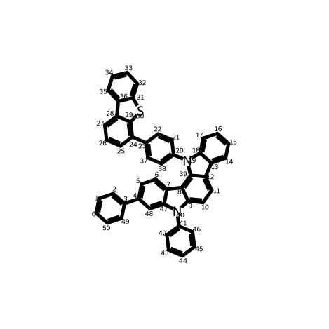 c1ccc(-c2ccc3c4c(ccc5c6ccccc6n(-c6ccc(-c7cccc8c7sc7ccccc78)cc6)c54)n(-c4ccccc4)c3c2)cc1